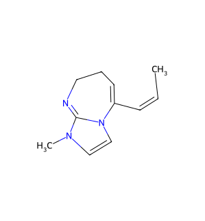 C/C=C\C1=CCCN=C2N(C)C=CN12